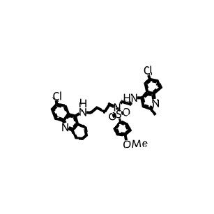 COc1ccc(S(=O)(=O)N(CCCCNc2c3c(nc4ccc(Cl)cc24)CCCC3)CCNc2cc(C)nc3ccc(Cl)cc23)cc1